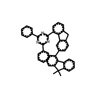 CC1(C)c2ccccc2-c2c(-c3ccc4c(c3)-c3c(cccc3-c3nc(-c5ccccc5)nc(-c5ccccc5)n3)C4)cccc21